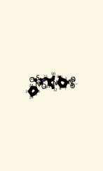 Cc1cc([N+](=O)[O-])ccc1-n1c(C)cc(/C=C2/SC(=O)N(c3ccccc3)C2=O)c1C